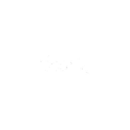 CC(=O)C(C(C)=O)C(=O)C(C)Oc1ccc(Oc2ccc(Br)cc2F)cc1